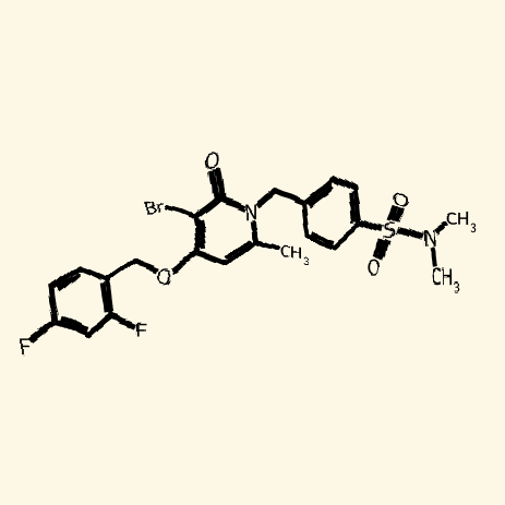 Cc1cc(OCc2ccc(F)cc2F)c(Br)c(=O)n1Cc1ccc(S(=O)(=O)N(C)C)cc1